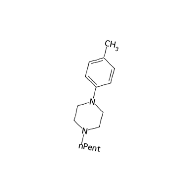 CCCCCN1CCN(c2ccc(C)cc2)CC1